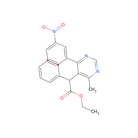 CCOC(=O)C(c1ccccc1)c1c(C)ncnc1-c1cccc([N+](=O)[O-])c1